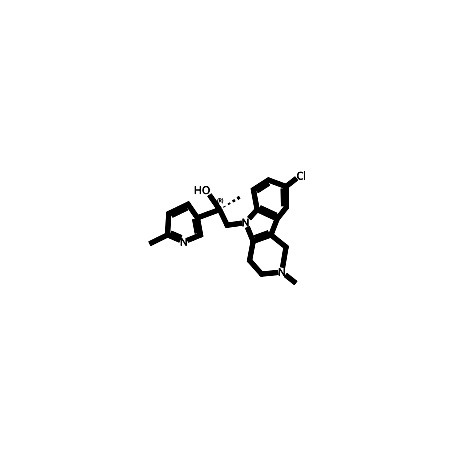 Cc1ccc([C@@](C)(O)Cn2c3c(c4cc(Cl)ccc42)CN(C)CC3)cn1